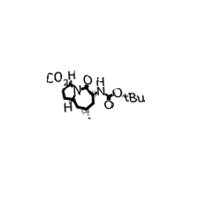 C[C@@H]1C[C@H]2CC[C@@H](C(=O)O)N2C(=O)[C@@H](NC(=O)OC(C)(C)C)C1